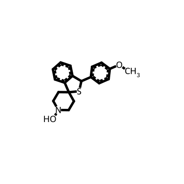 COc1ccc(C2SC3(CCN(O)CC3)c3ccccc32)cc1